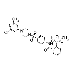 Cc1cc(N2CCN(S(=O)(=O)c3ccc(NC(=O)c4ccccc4N(C)S(C)(=O)=O)cc3)CC2)cc(Cl)n1